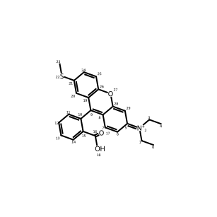 CC[N+](CC)=c1ccc2c(-c3ccccc3C(=O)O)c3cc(SC)ccc3oc-2c1